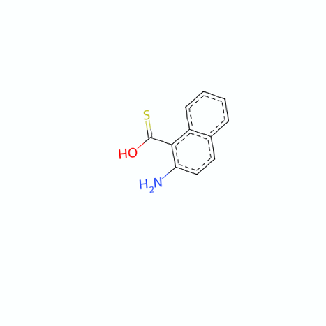 Nc1ccc2ccccc2c1C(O)=S